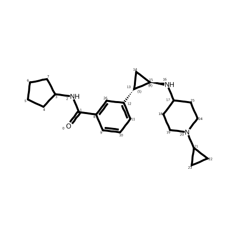 O=C(NC1CCCC1)c1cccc([C@@H]2C[C@H]2NC2CCN(C3CC3)CC2)c1